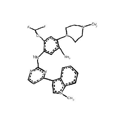 CN1CCN(c2cc(OC(F)F)c(Nc3nccc(-c4cn(C)c5ccccc45)n3)cc2N)CC1